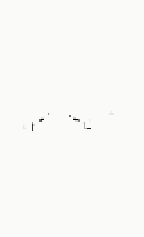 ClSCl.[Al]